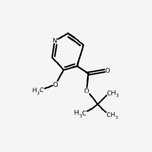 COc1cnccc1C(=O)OC(C)(C)C